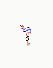 C[C@@H](CN1CCN(C(=O)OC(C)(C)C)CC1)Oc1ccc(Br)cc1